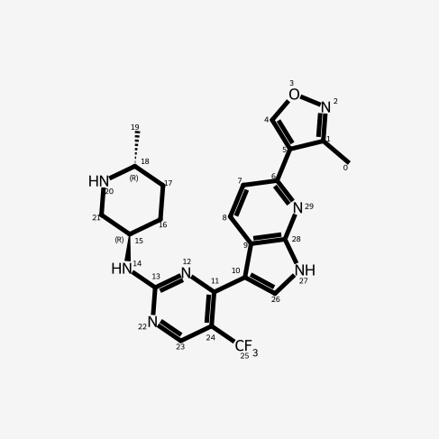 Cc1nocc1-c1ccc2c(-c3nc(N[C@@H]4CC[C@@H](C)NC4)ncc3C(F)(F)F)c[nH]c2n1